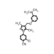 Cc1nn(-c2ccc(C#N)c(Cl)c2)c(C)c1COc1cccc(N(C)C)c1